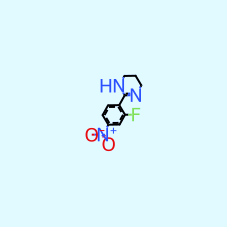 O=[N+]([O-])c1ccc(C2=NCCCN2)c(F)c1